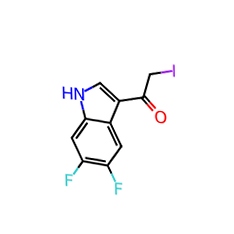 O=C(CI)c1c[nH]c2cc(F)c(F)cc12